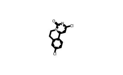 O=c1nc(Cl)cc2n1CCc1cc(Cl)ccc1-2